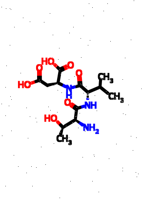 CC(C)[C@H](NC(=O)[C@@H](N)[C@@H](C)O)C(=O)N[C@@H](CC(=O)O)C(=O)O